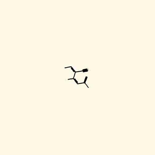 C=C(C)/C=C(F)\C(C#N)=C/C